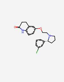 O=C1CCc2cc(OCCN3CCC[C@@H]3c3cccc(F)c3)ccc2N1